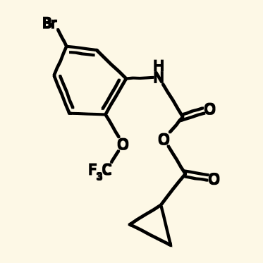 O=C(Nc1cc(Br)ccc1OC(F)(F)F)OC(=O)C1CC1